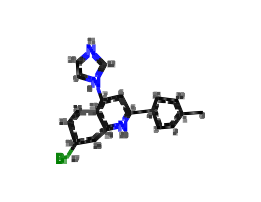 Cc1ccc(-c2cc(-n3ccnc3)c3ccc(Br)cc3n2)cc1